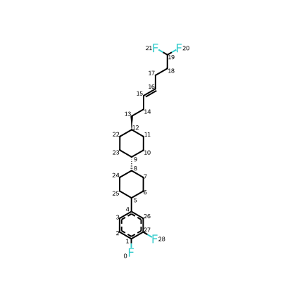 Fc1ccc(C2CCC([C@H]3CC[C@H](CC/C=C/CCC(F)F)CC3)CC2)cc1F